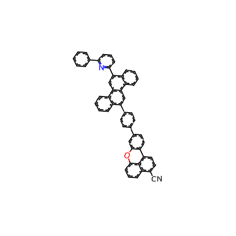 N#Cc1ccc2c3c(cccc13)Oc1cc(-c3ccc(-c4cc5c6ccccc6c(-c6cccc(-c7ccccc7)n6)cc5c5ccccc45)cc3)ccc1-2